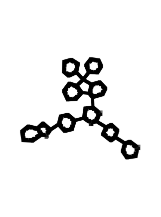 c1ccc(C2(c3ccccc3)c3ccccc3-c3c(-c4cc(-c5ccc(-c6cc7ccccc7s6)cc5)nc(-c5ccc(-c6cccnc6)cc5)n4)cccc32)cc1